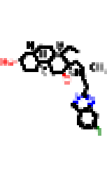 C[C@H](CCc1ncc2ccc(F)cc2n1)[C@H]1CC[C@H]2[C@@H]3CC[C@@H]4C[C@H](O)CC[C@]4(C)C3C[C@H](O)[C@]12C